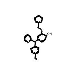 Oc1ccc(C(c2ccc(O)c(OCc3ccccn3)c2)c2ccccn2)cc1